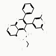 CC[S+]([O-])Nc1c(-c2cc(C)nc(Cl)c2)c(-c2ccccc2)nc2[nH]ccc(=O)c12